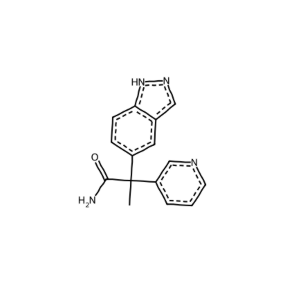 CC(C(N)=O)(c1cccnc1)c1ccc2[nH]ncc2c1